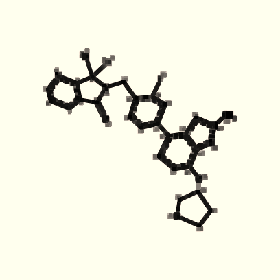 [2H]C1([2H])c2ncccc2C(=O)N1Cc1ccc(-c2ccc(O[C@@H]3CCOC3)c3nn(C)cc23)cc1F